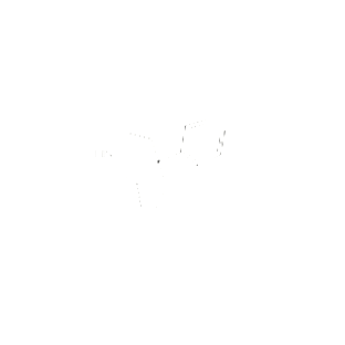 CCCC1(c2ccccc2)CCNCC1C